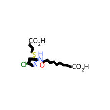 O=C(O)CCCCCCCCC(=O)Nc1ncc(Cl)cc1SCCCC(=O)O